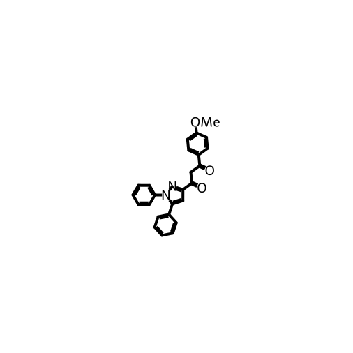 COc1ccc(C(=O)CC(=O)c2cc(-c3ccccc3)n(-c3ccccc3)n2)cc1